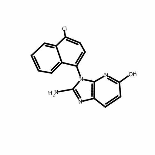 Nc1nc2ccc(O)nc2n1-c1ccc(Cl)c2ccccc12